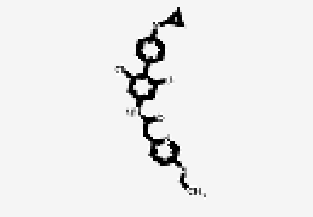 CCSc1ccc(CC(=O)Nc2cc(Cl)c(-c3ccc(SC4CC4)cc3)c(Cl)c2)nc1